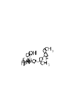 COc1ccc(F)c(-c2ccc(Cc3ccc(N4N=C(C(F)(F)F)CC4CC(=O)O)cc3)c(C)c2)c1